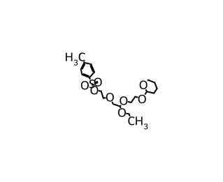 CCOC(COCCOS(=O)(=O)c1ccc(C)cc1)OCCOC1CCCCO1